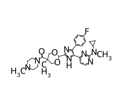 CN1CCN(C(=O)C2(C)COC(c3nc(-c4ccc(F)cc4)c(-c4ccnc(N(C)C5CC5)n4)[nH]3)OC2)CC1